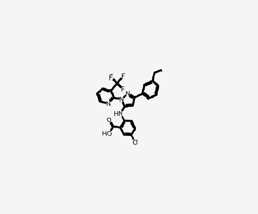 CCc1cccc(-c2cc(Nc3ccc(Cl)cc3C(=O)O)n(-c3ncccc3C(F)(F)F)n2)c1